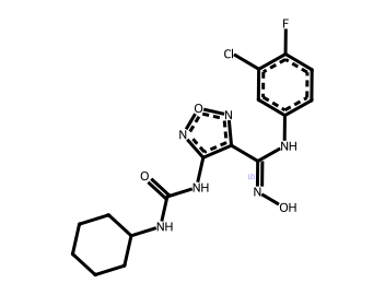 O=C(Nc1nonc1/C(=N/O)Nc1ccc(F)c(Cl)c1)NC1CCCCC1